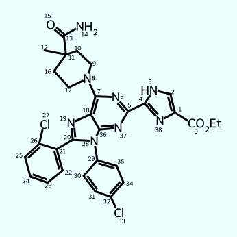 CCOC(=O)c1c[nH]c(-c2nc(N3CCC(C)(C(N)=O)CC3)c3nc(-c4ccccc4Cl)n(-c4ccc(Cl)cc4)c3n2)n1